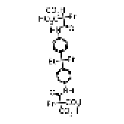 CCC(C(=O)O)(C(=O)O)C(=O)Nc1ccc(C(CC)(CC)c2ccc(NC(=O)C(CC)(C(=O)O)C(=O)O)cc2)cc1